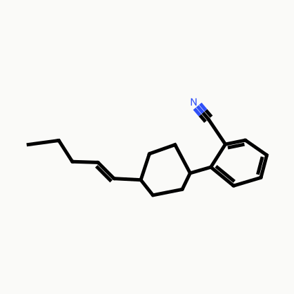 CCCC=CC1CCC(c2ccccc2C#N)CC1